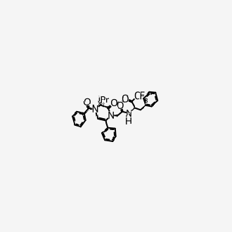 CC(C)[C@@H]1C(=O)N(CC(=O)NC(Cc2ccccc2)C(=O)C(F)(F)F)C(c2ccccc2)=CN1C(=O)c1ccccc1